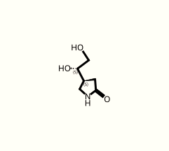 O=C1C[C@H]([C@H](O)CO)CN1